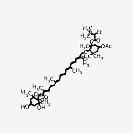 CCC(C(=O)OC1(C)CC(OC(C)=O)CC(C)(C)C1=C=C/C(C)=C/C=C/C(C)=C/C=C/C=C(C)/C=C/C=C(\C)C(=O)CC1(O)C(C)(C)CC(O)CC1(C)O)N(C)C